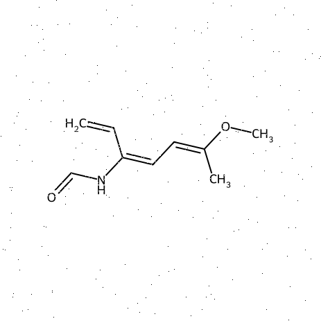 C=C/C(=C\C=C(/C)OC)NC=O